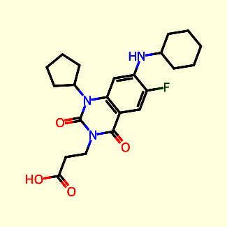 O=C(O)CCn1c(=O)c2cc(F)c(NC3CCCCC3)cc2n(C2CCCC2)c1=O